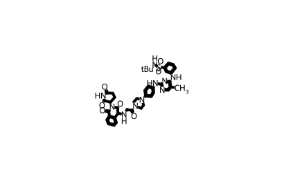 Cc1cnc(Nc2ccc(N3CCN(C(=O)CNC4C(=O)N(C5CCC(=O)NC5=O)C(=O)c5ccccc54)CC3)cc2)nc1Nc1cccc(S(=O)(=O)NC(C)(C)C)c1